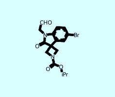 CC(C)OC(=O)N1CC2(C1)C(=O)N(CC=O)c1ccc(Br)cc12